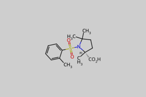 Cc1ccccc1S(=O)(=O)N1C(C)(C)CC[C@]1(C)C(=O)O